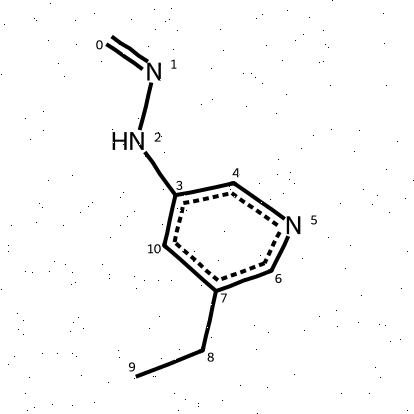 C=NNc1cncc(CC)c1